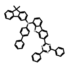 CC1(C)c2ccccc2-c2cc(N(c3ccc(-c4ccccc4)cc3)c3cccc4c3oc3cc(-c5nc(-c6ccccc6)nc(-c6ccccc6)n5)ccc34)ccc21